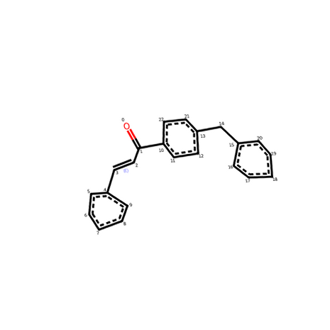 O=C(/C=C/c1ccccc1)c1ccc(Cc2ccccc2)cc1